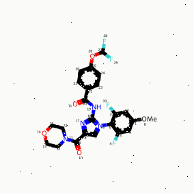 COc1cc(F)c(-n2cc(C(=O)N3CCOCC3)nc2NC(=O)c2ccc(OC(F)F)cc2)c(F)c1